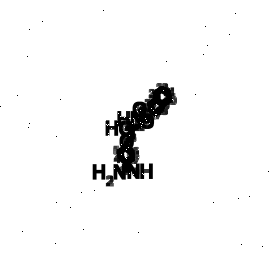 N=C(N)c1ccc(OCC(O)CNS(=O)(=O)c2ccc3ccccc3c2)cc1